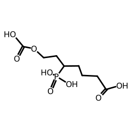 O=C(O)CCCC(CCOC(=O)O)P(=O)(O)O